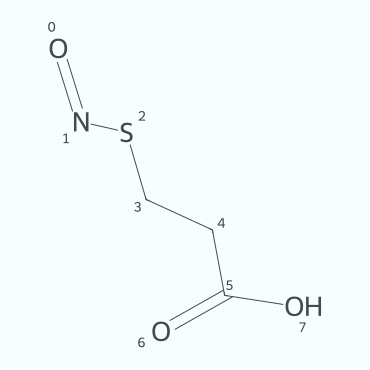 O=NSCCC(=O)O